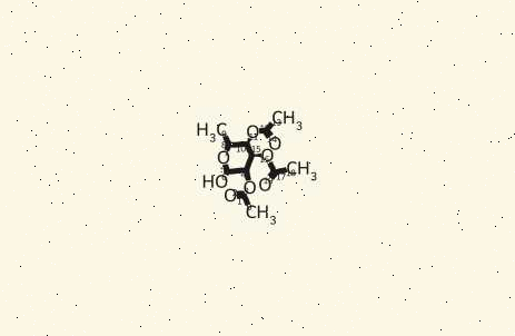 CC(=O)OC1C(O)OC(C)[C@@H](OC(C)=O)[C@H]1OC(C)=O